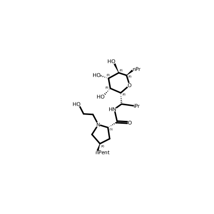 CCCCC[C@@H]1C[C@@H](C(=O)NC(C(C)C)[C@H]2O[C@H](CCC)[C@H](O)[C@@H](O)[C@H]2O)N(CCO)C1